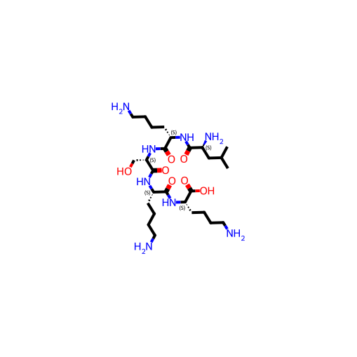 CC(C)C[C@H](N)C(=O)N[C@@H](CCCCN)C(=O)N[C@@H](CO)C(=O)N[C@@H](CCCCN)C(=O)N[C@@H](CCCCN)C(=O)O